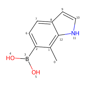 Cc1c(B(O)O)ccc2cc[nH]c12